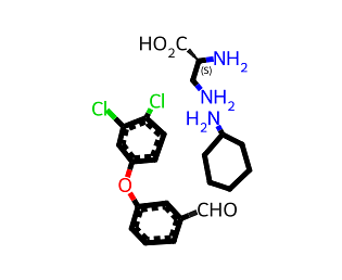 NC1CCCCC1.NC[C@H](N)C(=O)O.O=Cc1cccc(Oc2ccc(Cl)c(Cl)c2)c1